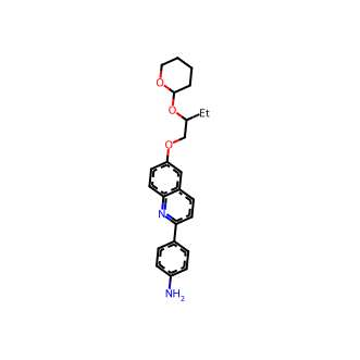 CCC(COc1ccc2nc(-c3ccc(N)cc3)ccc2c1)OC1CCCCO1